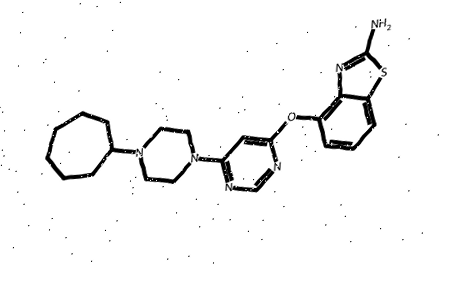 Nc1nc2c(Oc3cc(N4CCN(C5CCCCCC5)CC4)ncn3)cccc2s1